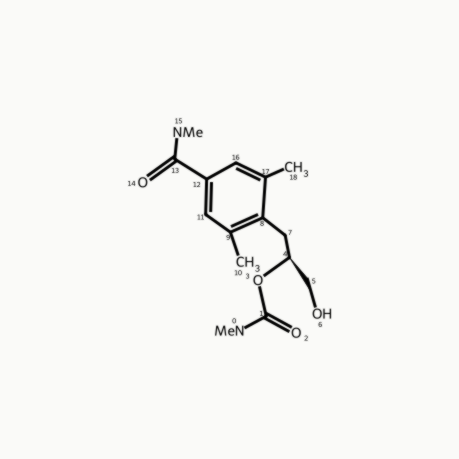 CNC(=O)O[C@H](CO)Cc1c(C)cc(C(=O)NC)cc1C